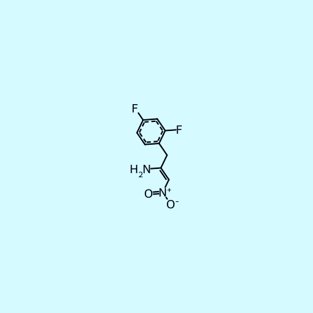 NC(=C[N+](=O)[O-])Cc1ccc(F)cc1F